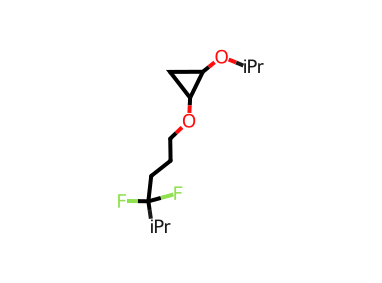 CC(C)OC1CC1OCCCC(F)(F)C(C)C